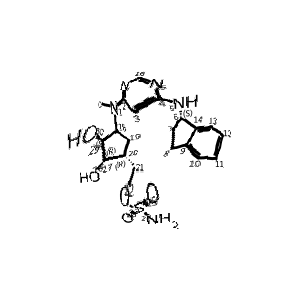 CN(c1cc(N[C@H]2CCc3ccccc32)ncn1)C1C[C@H](COS(N)(=O)=O)[C@@H](O)[C@H]1O